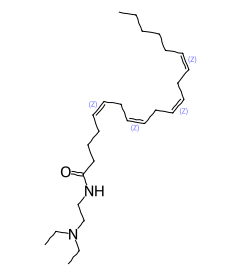 CCCCC/C=C\C/C=C\C/C=C\C/C=C\CCCC(=O)NCCN(CC)CC